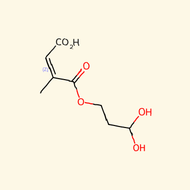 C/C(=C/C(=O)O)C(=O)OCCC(O)O